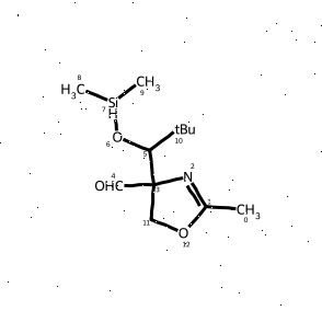 CC1=NC(C=O)(C(O[SiH](C)C)C(C)(C)C)CO1